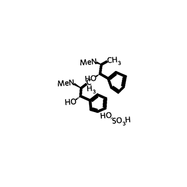 CN[C@@H](C)[C@@H](O)c1ccccc1.CN[C@@H](C)[C@@H](O)c1ccccc1.O=S(=O)(O)O